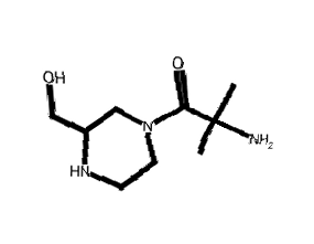 CC(C)(N)C(=O)N1CCNC(CO)C1